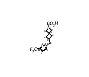 O=C(O)N1CC2(CC(Cn3ccc(C(F)(F)F)n3)C2)C1